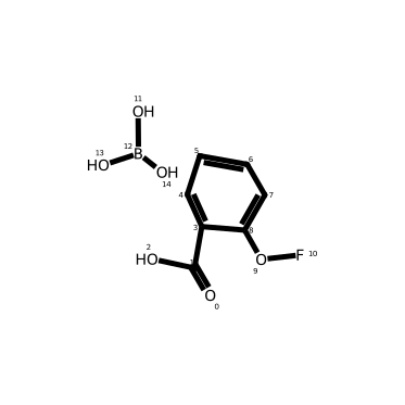 O=C(O)c1ccccc1OF.OB(O)O